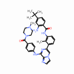 Cc1c(NC(=O)c2ccc(C(C)(C)C)cc2N)cccc1-c1cn2ccnc2c(Nc2ccc(C(=O)N3CCN(C)CC3)cc2)n1